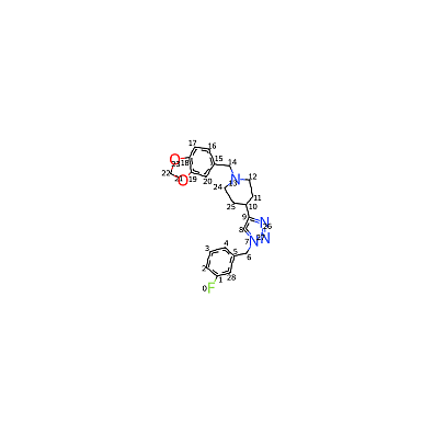 Fc1cccc(Cn2cc(C3CCN(Cc4ccc5c(c4)OCO5)CC3)nn2)c1